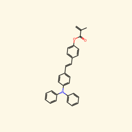 C=C(C)C(=O)Oc1ccc(C=Cc2ccc(N(c3ccccc3)c3ccccc3)cc2)cc1